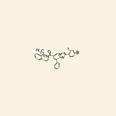 C[C@@H]1c2ccccc2CCN1C(=O)c1cc(-c2ccccc2)c2nc(-c3ccc(Br)cc3F)cn2c1